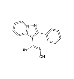 CC(C)/C(=N\O)c1c(-c2ccccc2)nn2ccccc12